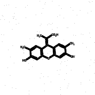 CC(C(=O)O)=C1c2cc(C)c(O)cc2Oc2cc(O)c(C)cc21